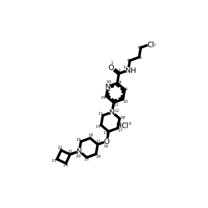 Cl.O=C(NCCCCl)c1ccc(N2CCC(OC3CCN(C4CCC4)CC3)CC2)cn1